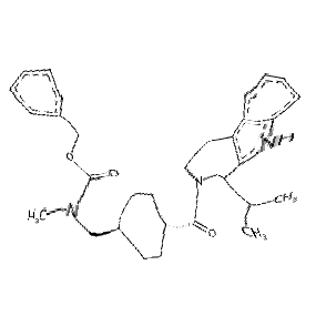 CC(C)C1c2[nH]c3ccccc3c2CCN1C(=O)[C@H]1CC[C@H](CN(C)C(=O)OCc2ccccc2)CC1